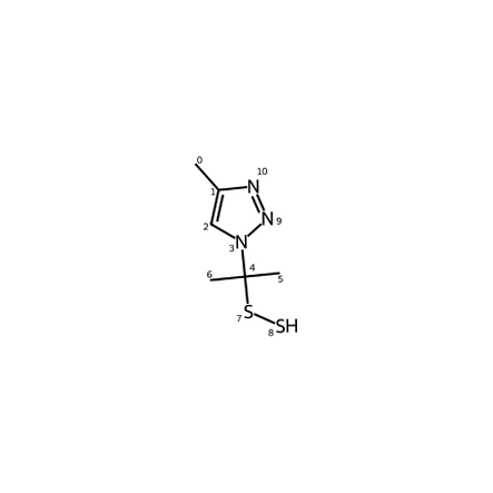 Cc1cn(C(C)(C)SS)nn1